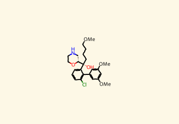 COCCCC[C@@](O)(c1cccc(Cl)c1-c1cc(OC)cc(OC)c1)[C@H]1CNCCO1